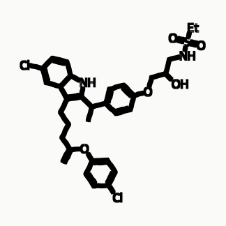 C=C(CCCC1=C(C(C)c2ccc(OCC(O)CNS(=O)(=O)CC)cc2)NC2C=CC(Cl)=CC12)Oc1ccc(Cl)cc1